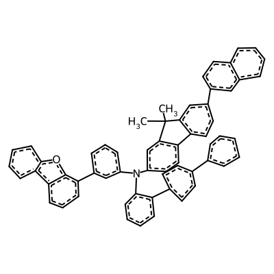 CC1(C)c2cc(-c3ccc4ccccc4c3)ccc2-c2ccc(N(c3cccc(-c4cccc5c4oc4ccccc45)c3)c3ccccc3-c3ccc(-c4ccccc4)cc3)cc21